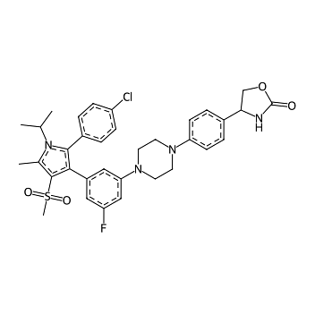 Cc1c(S(C)(=O)=O)c(-c2cc(F)cc(N3CCN(c4ccc(C5COC(=O)N5)cc4)CC3)c2)c(-c2ccc(Cl)cc2)n1C(C)C